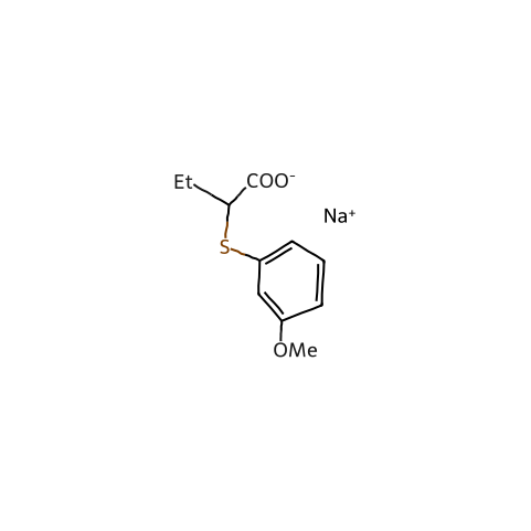 CCC(Sc1cccc(OC)c1)C(=O)[O-].[Na+]